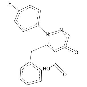 O=C(O)c1c(Cc2ccccc2)n(-c2ccc(F)cc2)ncc1=O